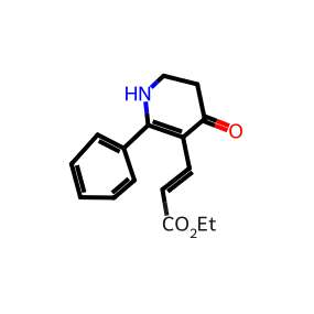 CCOC(=O)/C=C/C1=C(c2ccccc2)NCCC1=O